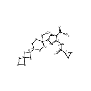 N#CC[C@]1(n2cc(C(N)=O)c(NC(=O)C3CC3)n2)CC[C@H](N2CC3(CCC3)C2)CC1